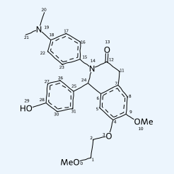 COCCOc1cc2c(cc1OC)CC(=O)N(c1ccc(N(C)C)cc1)C2c1ccc(O)cc1